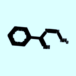 N=C(/N=N\N)c1ccccc1